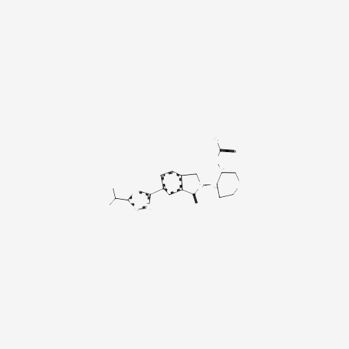 NC(=O)O[C@H]1COCC[C@H]1N1Cc2ccc(-c3nnc(C(F)F)o3)cc2C1=O